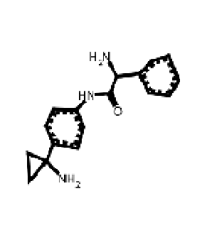 NC(C(=O)Nc1ccc(C2(N)CC2)cc1)c1ccccc1